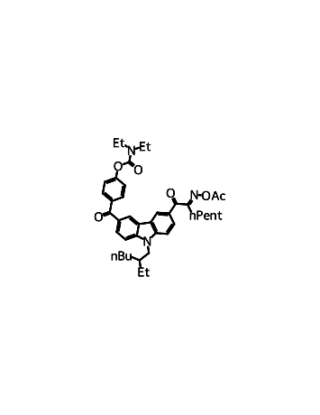 CCCCC/C(=N\OC(C)=O)C(=O)c1ccc2c(c1)c1cc(C(=O)c3ccc(OC(=O)N(CC)CC)cc3)ccc1n2CC(CC)CCCC